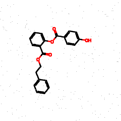 O=C(Oc1ccccc1C(=O)OCCc1ccccc1)c1ccc(O)cc1